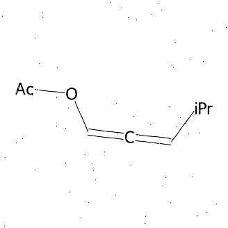 CC(=O)OC=C=CC(C)C